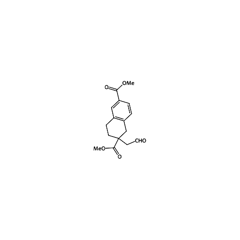 COC(=O)c1ccc2c(c1)CCC(CC=O)(C(=O)OC)C2